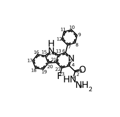 NNC(=O)c1nc(-c2ccccc2)c2[nH]c3ccccc3c2c1F